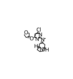 CN(c1nc(Cl)cc(O[C@@H]2CCOC2)n1)[C@@H]1C[C@H]2CC3C[C@@H](C1)N32